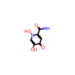 [NH]C(=O)c1cc(=O)c(O)cn1O